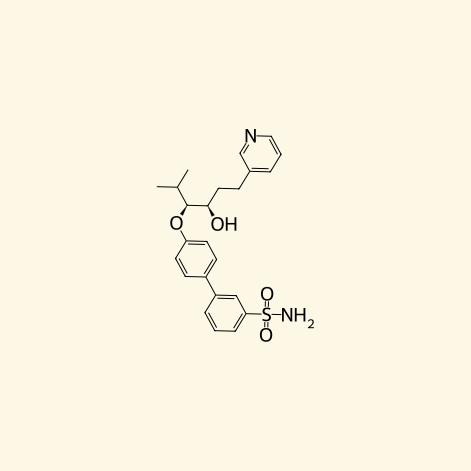 CC(C)[C@H](Oc1ccc(-c2cccc(S(N)(=O)=O)c2)cc1)[C@H](O)CCc1cccnc1